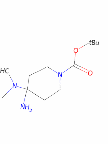 CN(C=O)C1(N)CCN(C(=O)OC(C)(C)C)CC1